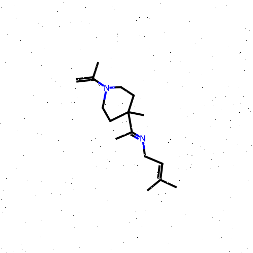 C=C(C)N1CCC(C)(/C(C)=N/CC=C(C)C)CC1